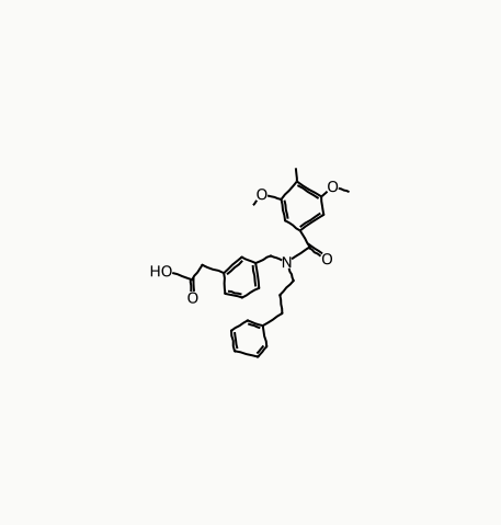 COc1cc(C(=O)N(CCCc2ccccc2)Cc2cccc(CC(=O)O)c2)cc(OC)c1C